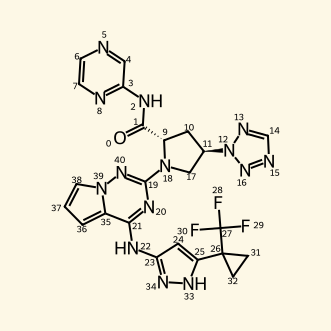 O=C(Nc1cnccn1)[C@@H]1C[C@@H](n2ncnn2)CN1c1nc(Nc2cc(C3(C(F)(F)F)CC3)[nH]n2)c2cccn2n1